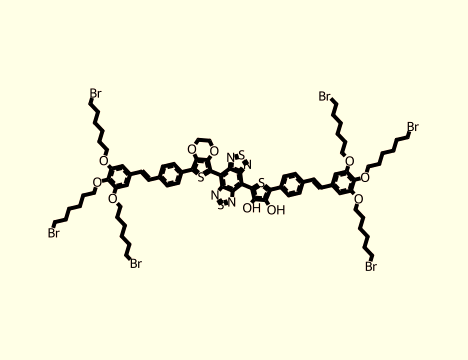 Oc1c(-c2ccc(/C=C/c3cc(OCCCCCCBr)c(OCCCCCCBr)c(OCCCCCCBr)c3)cc2)sc(-c2c3c(c(-c4sc(-c5ccc(/C=C/c6cc(OCCCCCCBr)c(OCCCCCCBr)c(OCCCCCCBr)c6)cc5)c5c4OCCO5)c4nsnc24)N=S=N3)c1O